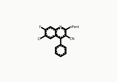 CCCCCc1nc2cc(F)c(Cl)cc2c(-c2ccccc2)c1C#N